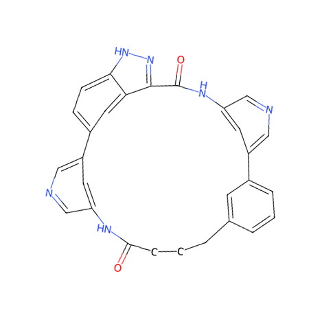 O=C1CCCc2cccc(c2)-c2cncc(c2)NC(=O)c2n[nH]c3ccc(cc23)-c2cncc(c2)N1